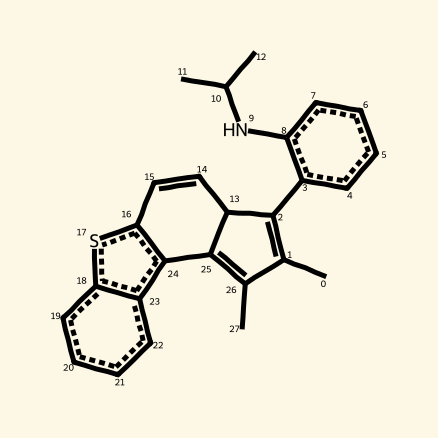 CC1=C(c2ccccc2NC(C)C)C2C=Cc3sc4ccccc4c3C2=C1C